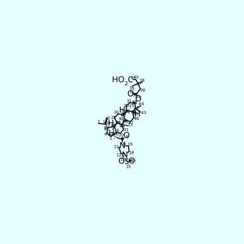 C=C(C)[C@@H]1CC[C@]2(CC(=O)N3CCN(S(C)(=O)=O)CC3)CC[C@]3(C)[C@H](CC[C@@H]4[C@@]5(C)CC[C@H](OC(=O)CC(C)(C)CC(=O)O)C(C)(C)[C@@H]5CC[C@]43C)[C@@H]12